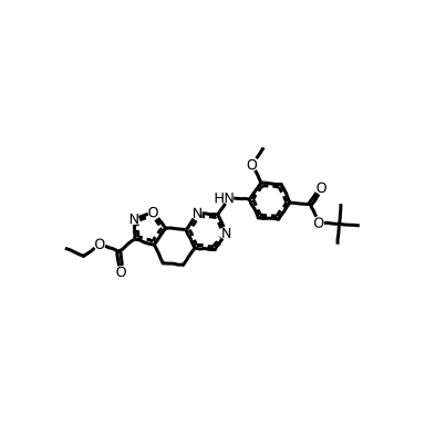 CCOC(=O)c1noc2c1CCc1cnc(Nc3ccc(C(=O)OC(C)(C)C)cc3OC)nc1-2